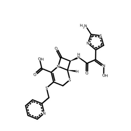 Nc1nc(/C(=N/O)C(=O)N[C@@H]2C(=O)N3C(C(=O)O)=C(SCc4ccccn4)CS[C@@H]23)cs1